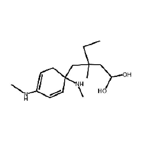 CCC(C)(CC(O)O)CC1(NC)C=CC(NC)=CC1